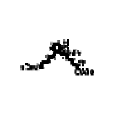 CCCCCCCCCCCCCCCc1ccccc1C[C@](O)(CCC)SCCC(=O)OC